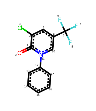 O=c1c(Cl)cc(C(F)(F)F)cn1-c1ccccc1